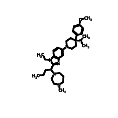 CCCC(c1nc2cc(N3CCC(c4ccc(OC)cc4)(N(C)C)CC3)ccc2n1CC)N1CCCN(C)CC1